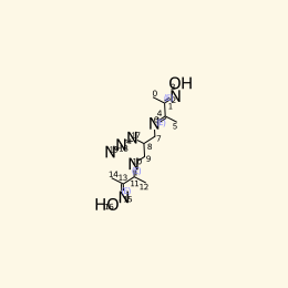 CC(=N\O)/C(C)=N/CC(C/N=C(C)/C(C)=N/O)N=[N+]=[N-]